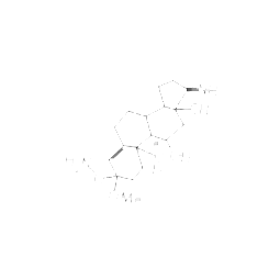 COC1(ON)C=C2CCC3C4CCC(=N)C4(C)C[C@@H](O)C3C2(C)CC1